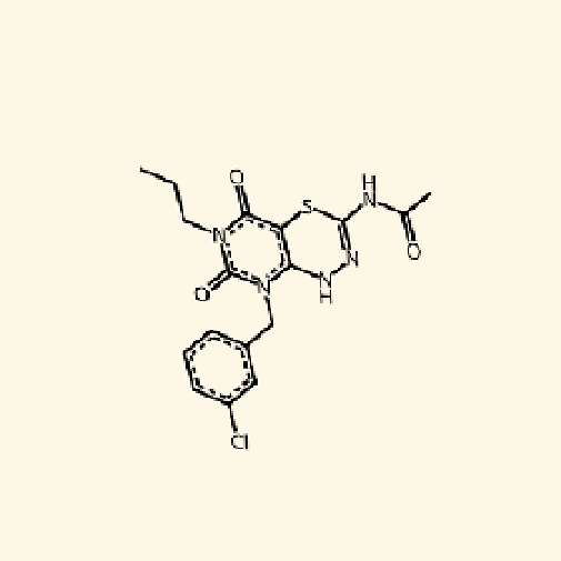 CCCn1c(=O)c2c(n(Cc3cccc(Cl)c3)c1=O)NN=C(NC(C)=O)S2